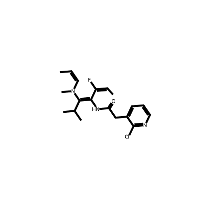 C/C=C\N(C)/C(=C(NC(=O)Cc1cccnc1Cl)\C(F)=C/C)C(C)C